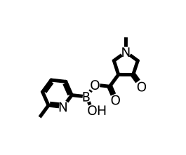 Cc1cccc(B(O)OC(=O)C2CN(C)CC2=O)n1